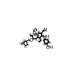 C=Cc1c(/C=C(/OCC2CCN(C)C2)C(=C)NC=O)ncc(C#N)c1Nc1ccc(O)cc1